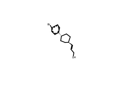 OCC=C[C@H]1CC[C@H](c2ccc(Br)cc2)CC1